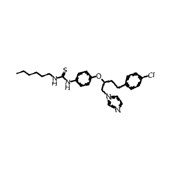 CCCCCCNC(=S)Nc1ccc(OC(CCc2ccc(Cl)cc2)Cn2ccnc2)cc1